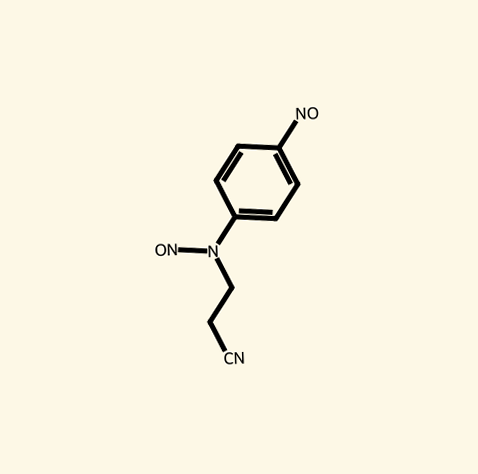 N#CCCN(N=O)c1ccc(N=O)cc1